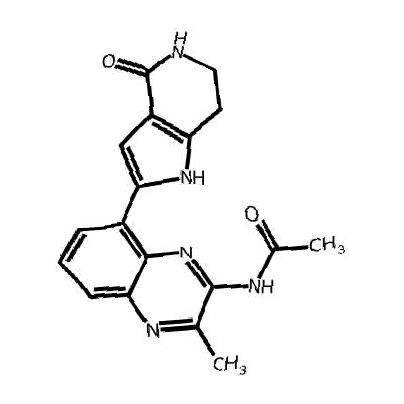 CC(=O)Nc1nc2c(-c3cc4c([nH]3)CCNC4=O)cccc2nc1C